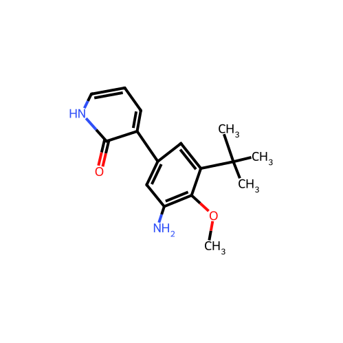 COc1c(N)cc(-c2ccc[nH]c2=O)cc1C(C)(C)C